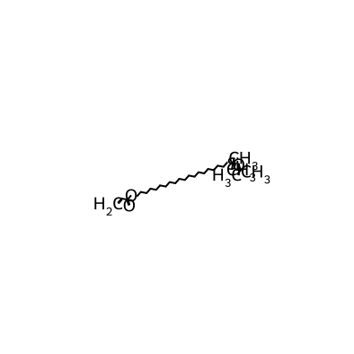 C=CC(=O)OCCCCCCCCCCCCCCCCCCCC[Si](C)(C)OC(C)C